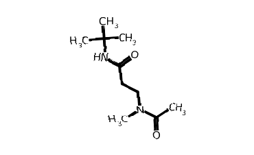 CC(=O)N(C)CCC(=O)NC(C)(C)C